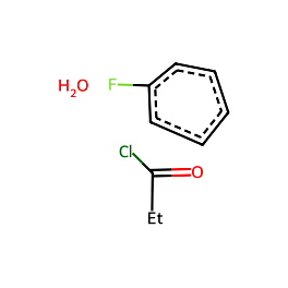 CCC(=O)Cl.Fc1ccccc1.O